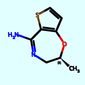 C[C@@H]1CN=C(N)c2sccc2O1